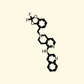 FC1(F)Oc2cccc(CN3CCc4c(ccnc4Nc4cnc5ccccc5c4)C3)c2O1